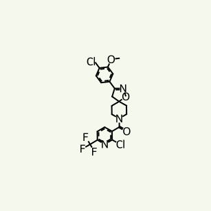 COc1cc(C2=NOC3(CCN(C(=O)c4ccc(C(F)(F)F)nc4Cl)CC3)C2)ccc1Cl